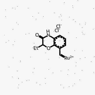 CCC1Oc2c([CH]=[Ru+2])cccc2NC1=O.[Cl-].[Cl-]